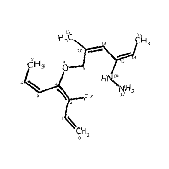 C=C/C(F)=C(\C=C/C)OC/C(C)=C\C(=C/C)NN